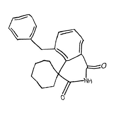 O=C1NC(=O)C2(CCCCC2)c2c(Cc3ccccc3)cccc21